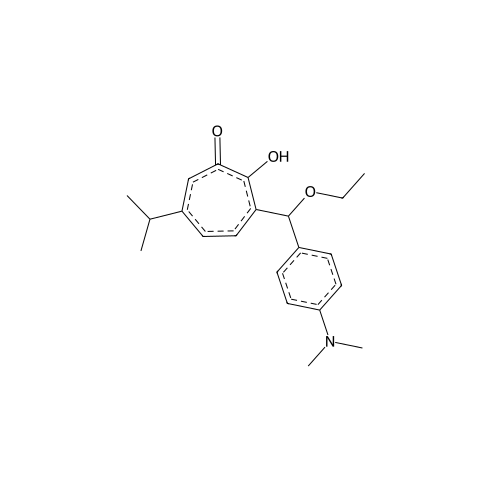 CCOC(c1ccc(N(C)C)cc1)c1ccc(C(C)C)cc(=O)c1O